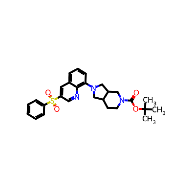 CC(C)(C)OC(=O)N1CCC2CN(c3cccc4cc(S(=O)(=O)c5ccccc5)cnc34)CC2C1